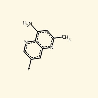 Cc1cc(N)c2ncc(F)cc2n1